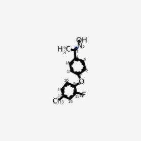 C/C(=N\O)c1ccc(Oc2ccc(Cl)cc2F)cc1